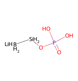 B[SiH2]OP(=O)(O)O.[LiH]